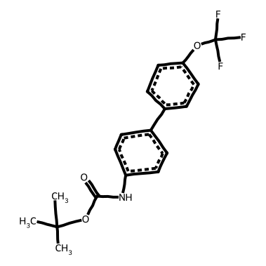 CC(C)(C)OC(=O)Nc1ccc(-c2ccc(OC(F)(F)F)cc2)cc1